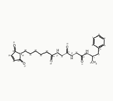 CC(Cc1ccccc1)NC(=O)CNC(=O)CNC(=O)CCCCCN1C(=O)C=CC1=O